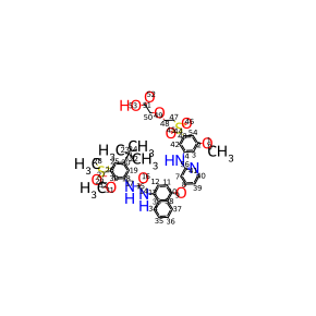 COc1cc(Nc2cc(Oc3ccc(NC(=O)Nc4cc(C(C)(C)C)cc([S+](C)[O-])c4OC)c4ccccc34)ccn2)cc(S(=O)(=O)CCOCC(=O)O)c1